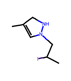 CC1=CN(CC(C)I)NC1